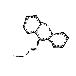 NNON=c1c2ccccc2[nH]c2ccccc12